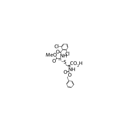 COC(=O)[C@@H](CSC[C@H](NC(=O)OCc1ccccc1)C(=O)O)NC(=O)c1c(Cl)cccc1Cl